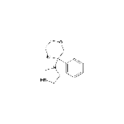 c1ccc(C2(N3CCNC3)COCC[N]2)cc1